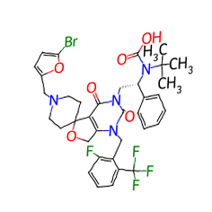 CC(C)(C)N(C(=O)O)[C@@H](Cn1c(=O)c2c(n(Cc3c(F)cccc3C(F)(F)F)c1=O)COC21CCN(Cc2ccc(Br)o2)CC1)c1ccccc1